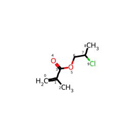 C=C(C)C(=O)OCC(C)Cl